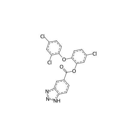 O=C(Oc1cc(Cl)ccc1Oc1ccc(Cl)cc1Cl)c1ccc2[nH]nnc2c1